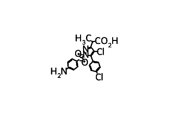 CC(C(=O)O)c1nn(S(=O)(=O)c2ccc(N)cc2)c(-c2ccc(Cl)cc2)c1Cl